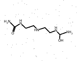 NC(=O)NCCNCCNC(N)O